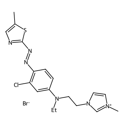 CCN(CCn1cc[n+](C)c1)c1ccc(N=Nc2ncc(C)s2)c(Cl)c1.[Br-]